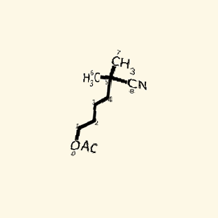 CC(=O)OCCCCC(C)(C)C#N